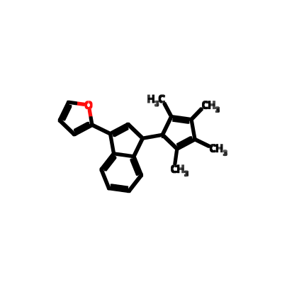 CC1=C(C)C(C)=C(C)[C]1C1C=C(c2ccco2)c2ccccc21